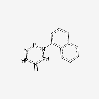 c1ccc2c(-n3pn[pH][nH][pH]3)cccc2c1